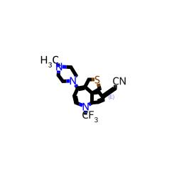 CN1CCN(C2=C3CSCC34C/C(=C\C#N)C=CC4N(C(F)(F)F)C=C2)CC1